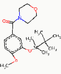 COc1ccc(C(=O)N2CCOCC2)cc1O[Si](C)(C)C(C)(C)C